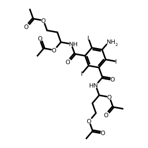 CC(=O)OCCC(NC(=O)c1c(I)c(N)c(I)c(C(=O)NC(CCOC(C)=O)OC(C)=O)c1I)OC(C)=O